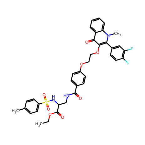 CCOC(=O)C(CNC(=O)c1ccc(OCCOc2c(-c3ccc(F)c(F)c3)n(C)c3ccccc3c2=O)cc1)NS(=O)(=O)c1ccc(C)cc1